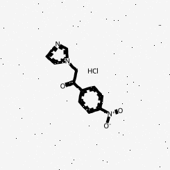 Cl.O=C(Cn1ccnc1)c1ccc([N+](=O)[O-])cc1